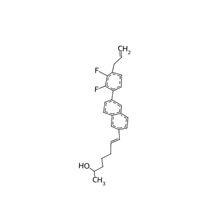 C=CCc1ccc(-c2ccc3cc(C=CCCCC(C)O)ccc3c2)c(F)c1F